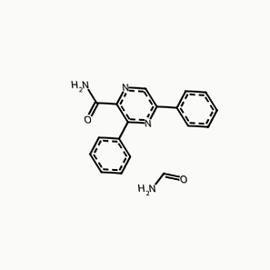 NC(=O)c1ncc(-c2ccccc2)nc1-c1ccccc1.NC=O